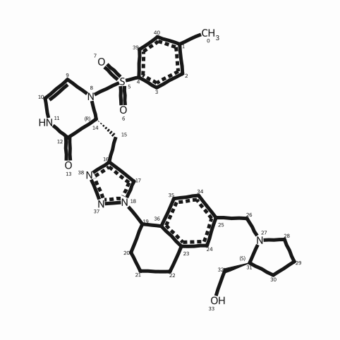 Cc1ccc(S(=O)(=O)N2C=CNC(=O)[C@H]2Cc2cn(C3CCCc4cc(CN5CCC[C@H]5CO)ccc43)nn2)cc1